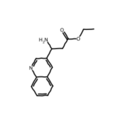 CCOC(=O)CC(N)c1cnc2ccccc2c1